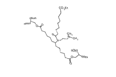 CCCCCCCCCC(CCCCCC)COC(=O)CCCCCC(CCCCCC(=O)OCC(CCCCCC)CCCCCCCC)N(CCCN(C)C)C(=O)CCCCCCCC(=O)OCC